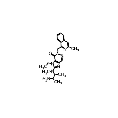 CCn1c(N(C)C(C)C(C)N)nc2cnn(Cc3nc(C)cc4ccccc34)c(=O)c21